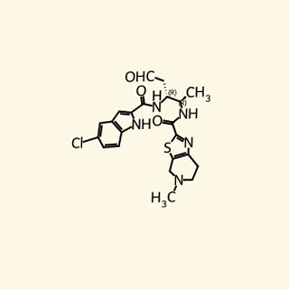 C[C@@H](NC(=O)c1nc2c(s1)CN(C)CC2)[C@@H](CC=O)NC(=O)c1cc2cc(Cl)ccc2[nH]1